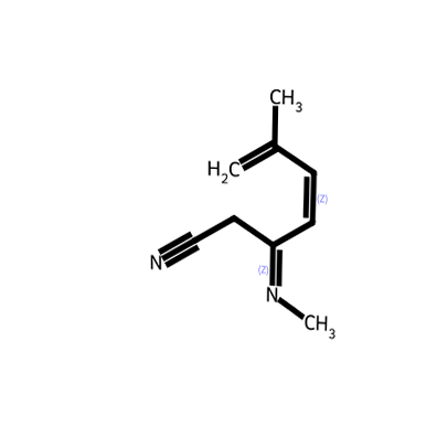 C=C(C)/C=C\C(CC#N)=N/C